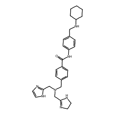 O=C(Nc1ccc(CNC2CCCCC2)cc1)c1ccc(CN(CC2=NCCN2)Cc2ncc[nH]2)cc1